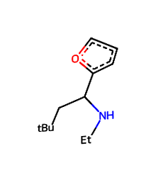 CCNC(CC(C)(C)C)c1ccco1